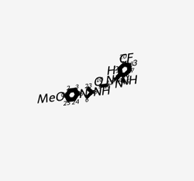 COc1ccc(N2CC(NC(=O)CNc3n[nH]c4ccc(C(F)(F)F)cc34)C2)cc1